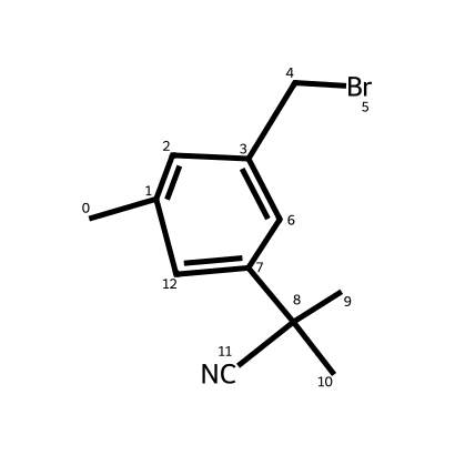 Cc1cc(CBr)cc(C(C)(C)C#N)c1